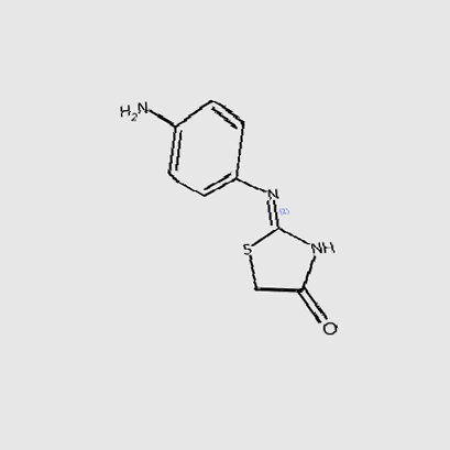 Nc1ccc(/N=C2/NC(=O)CS2)cc1